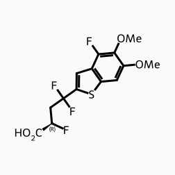 COc1cc2sc(C(F)(F)C[C@@H](F)C(=O)O)cc2c(F)c1OC